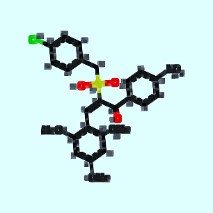 COc1cc(OC)c(/C=C(\C(=O)c2ccc([N+](=O)[O-])cc2)S(=O)(=O)Cc2ccc(Cl)cc2)c(OC)c1